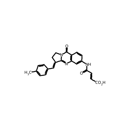 Cc1ccc(C=C2CCn3c2nc2cc(NC(=O)/C=C/C(=O)O)ccc2c3=O)cc1